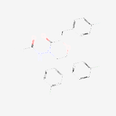 CCCCC(=O)NN1C(=O)[C@@H](Cc2ccc(F)cc2)O[C@H](c2cccc(Cl)c2)[C@@H]1c1ccc(Cl)cc1